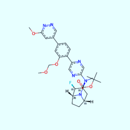 COCOc1cc(-c2cnnc(OC)c2)ccc1-c1cnc(N(C)[C@H]2C[C@@H]3CC[C@H]([C@H]2F)N3C(=O)OC(C)(C)C)cn1